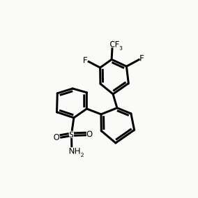 NS(=O)(=O)c1ccccc1-c1ccccc1-c1cc(F)c(C(F)(F)F)c(F)c1